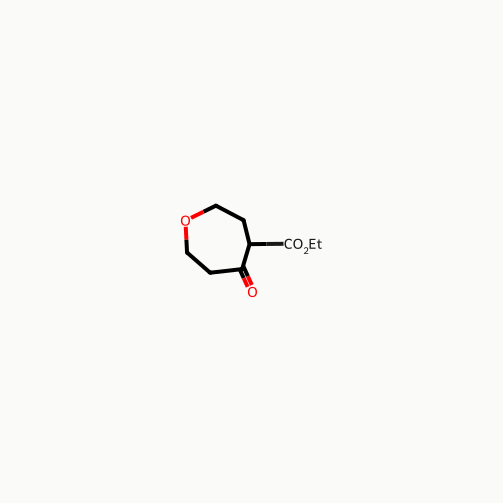 CCOC(=O)C1CCOCCC1=O